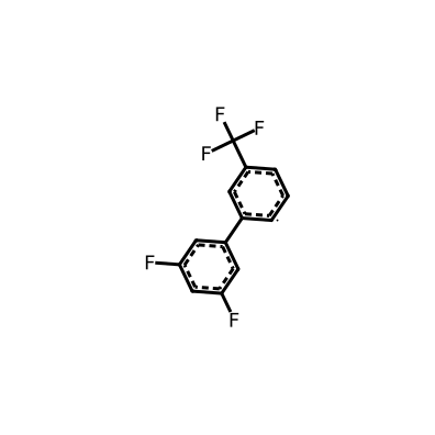 Fc1cc(F)cc(-c2[c]ccc(C(F)(F)F)c2)c1